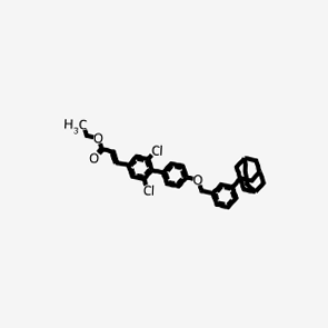 CCOC(=O)C=Cc1cc(Cl)c(-c2ccc(OCc3cccc(C45CC6CC(CC(C6)C4)C5)c3)cc2)c(Cl)c1